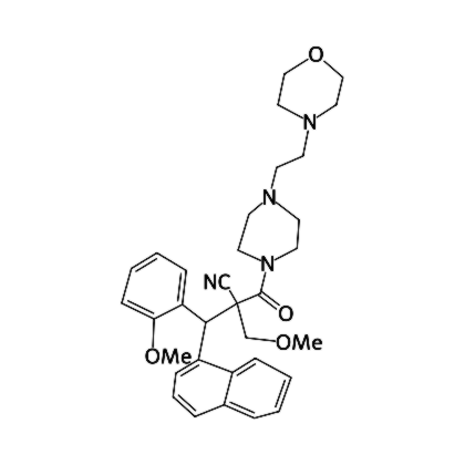 COCC(C#N)(C(=O)N1CCN(CCN2CCOCC2)CC1)C(c1ccccc1OC)c1cccc2ccccc12